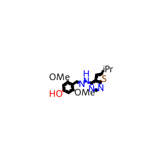 COc1cc(O)cc(OC)c1C=NNc1ncnc2sc(C(C)C)cc12